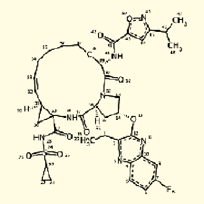 CCc1nc2ccc(F)cc2nc1O[C@@H]1C[C@H]2C(=O)N[C@]3(C(=O)NS(=O)(=O)C4CC4)C[C@H]3/C=C\CCCCC[C@H](NC(=O)c3cc(C(C)C)no3)C(=O)N2C1